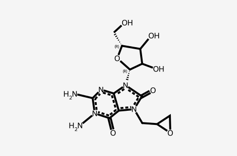 Nc1nc2c(c(=O)n1N)n(CC1CO1)c(=O)n2[C@@H]1O[C@H](CO)C(O)C1O